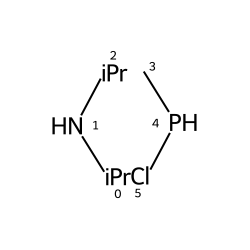 CC(C)NC(C)C.CPCl